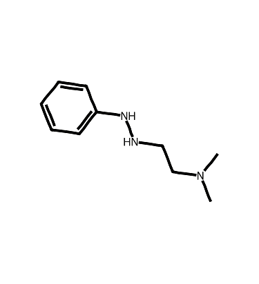 CN(C)CCNNc1ccccc1